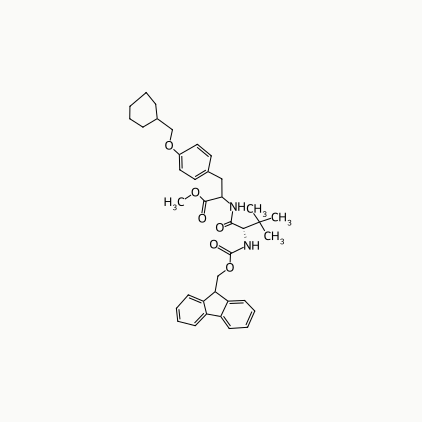 COC(=O)C(Cc1ccc(OCC2CCCCC2)cc1)NC(=O)[C@@H](NC(=O)OCC1c2ccccc2-c2ccccc21)C(C)(C)C